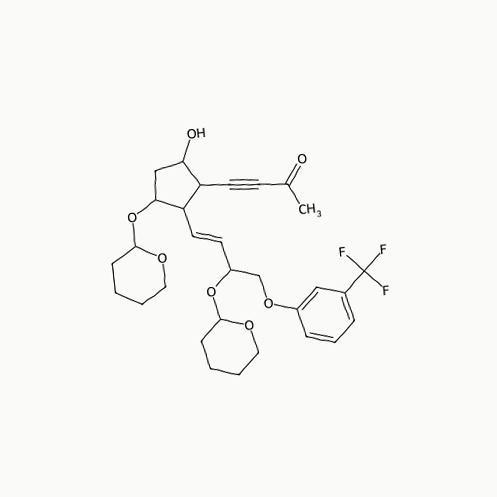 CC(=O)C#CC1C(O)CC(OC2CCCCO2)C1C=CC(COc1cccc(C(F)(F)F)c1)OC1CCCCO1